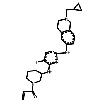 C=CC(=O)N1CCCC(Nc2nc(Nc3ccc4c(c3)CCN(CC3CC3)C4)ncc2F)C1